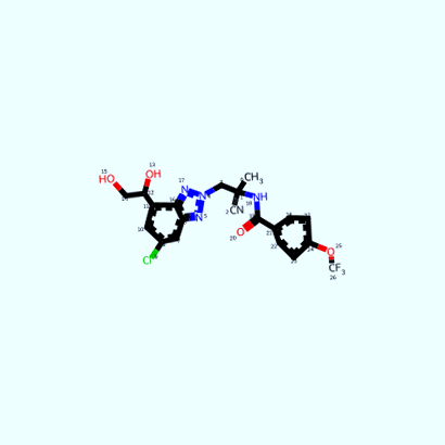 CC(C#N)(Cn1nc2cc(Cl)cc(C(O)CO)c2n1)NC(=O)c1ccc(OC(F)(F)F)cc1